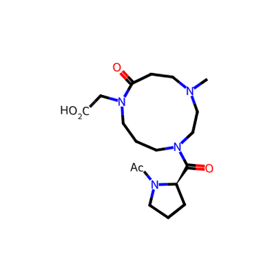 CC(=O)N1CCC[C@@H]1C(=O)N1CCCN(CC(=O)O)C(=O)CCN(C)CC1